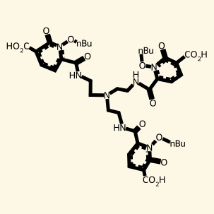 CCCCOn1c(C(=O)NCCN(CCNC(=O)c2ccc(C(=O)O)c(=O)n2OCCCC)CCNC(=O)c2ccc(C(=O)O)c(=O)n2OCCCC)ccc(C(=O)O)c1=O